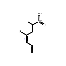 C=C/C=C(/F)CC(F)[N+](=O)[O-]